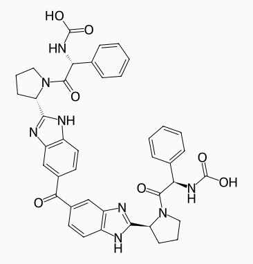 O=C(O)N[C@@H](C(=O)N1CCC[C@H]1c1nc2cc(C(=O)c3ccc4[nH]c([C@@H]5CCCN5C(=O)[C@H](NC(=O)O)c5ccccc5)nc4c3)ccc2[nH]1)c1ccccc1